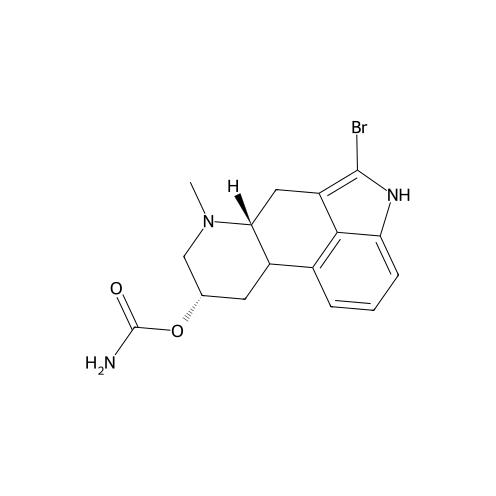 CN1C[C@@H](OC(N)=O)CC2c3cccc4[nH]c(Br)c(c34)C[C@H]21